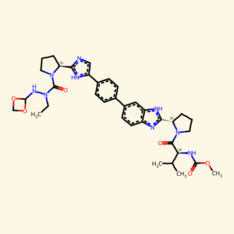 CCN(NC1OCO1)C(=O)N1CCC[C@H]1c1ncc(-c2ccc(-c3ccc4nc([C@@H]5CCCN5C(=O)[C@@H](NC(=O)OC)C(C)C)[nH]c4c3)cc2)[nH]1